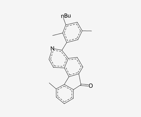 CCCCc1cc(C)cc(-c2nccc3c4c(ccc23)C(=O)c2cccc(C)c2-4)c1C